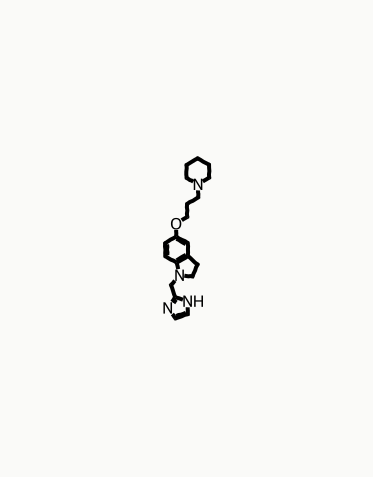 c1c[nH]c(CN2CCc3cc(OCCCN4CCCCC4)ccc32)n1